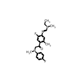 CCN(C)C=Nc1cc(C)c(C(=O)CN(C)c2ccc(F)cc2)cc1F